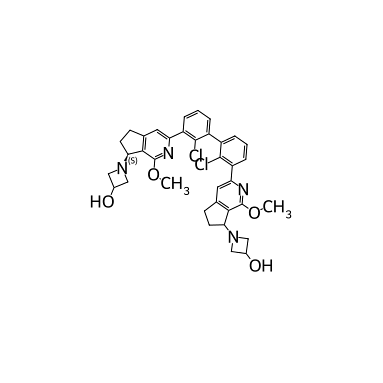 COc1nc(-c2cccc(-c3cccc(-c4cc5c(c(OC)n4)[C@@H](N4CC(O)C4)CC5)c3Cl)c2Cl)cc2c1C(N1CC(O)C1)CC2